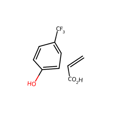 C=CC(=O)O.Oc1ccc(C(F)(F)F)cc1